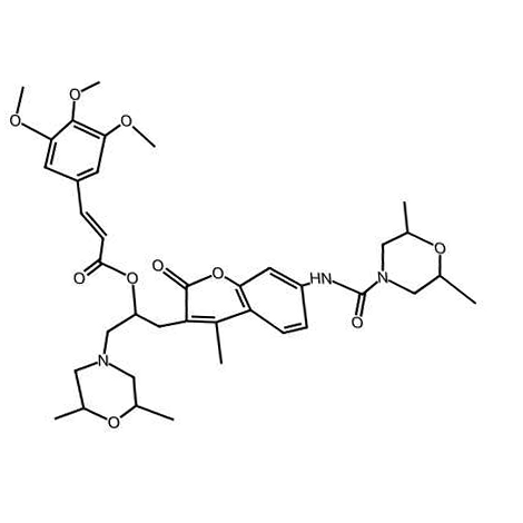 COc1cc(C=CC(=O)OC(Cc2c(C)c3ccc(NC(=O)N4CC(C)OC(C)C4)cc3oc2=O)CN2CC(C)OC(C)C2)cc(OC)c1OC